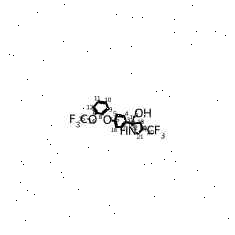 OC[C@@]1(c2ccc(Oc3ccccc3OC(F)(F)F)cc2)C[C@H](C(F)(F)F)CN1